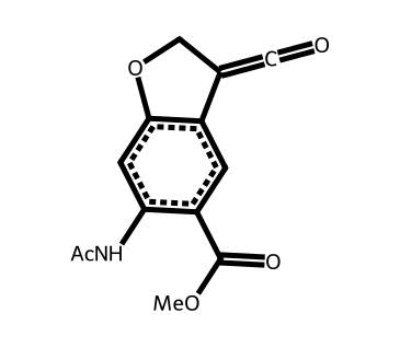 COC(=O)c1cc2c(cc1NC(C)=O)OCC2=C=O